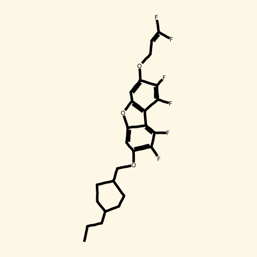 CCCC1CCC(COc2cc3oc4cc(OCC=C(F)F)c(F)c(F)c4c3c(F)c2F)CC1